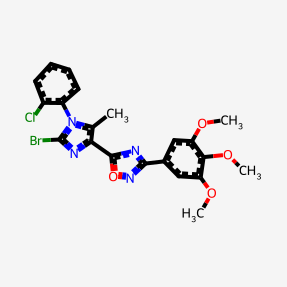 COc1cc(-c2noc(-c3nc(Br)n(-c4ccccc4Cl)c3C)n2)cc(OC)c1OC